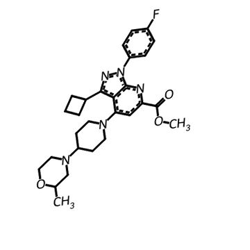 COC(=O)c1cc(N2CCC(N3CCOC(C)C3)CC2)c2c(C3CCC3)nn(-c3ccc(F)cc3)c2n1